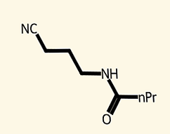 CCCC(=O)NCCCC#N